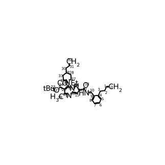 C=CCCc1ccccc1CNC(=O)c1cc2nc(C)c([C@H](OC(C)(C)C)C(=O)OCC)c(N3CCC(CC=C)CC3)n2n1